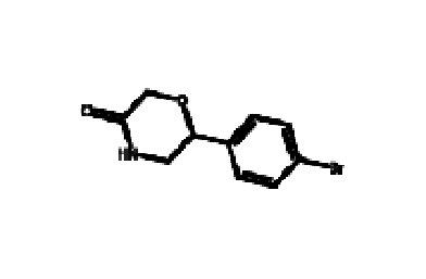 O=C1COC(c2ccc(Br)cc2)CN1